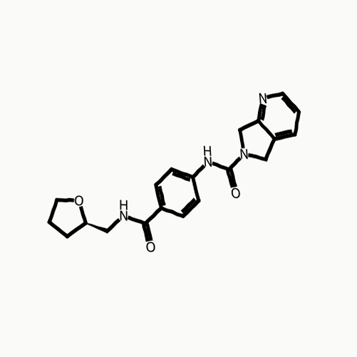 O=C(NC[C@H]1CCCO1)c1ccc(NC(=O)N2Cc3cccnc3C2)cc1